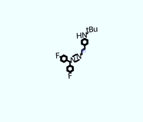 CC(C)(C)CNc1ccc(/C=C/CN2CCN(C(c3ccc(F)cc3)c3ccc(F)cc3)CC2)cc1